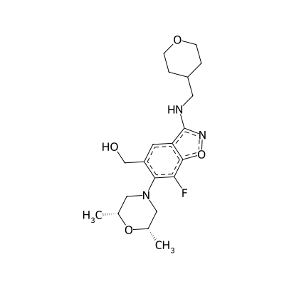 C[C@@H]1CN(c2c(CO)cc3c(NCC4CCOCC4)noc3c2F)C[C@H](C)O1